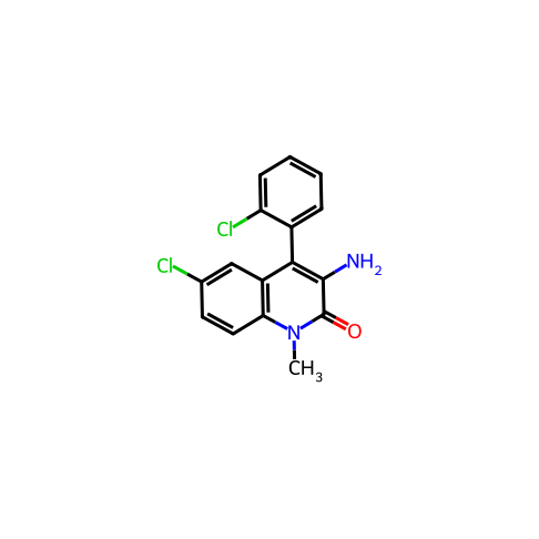 Cn1c(=O)c(N)c(-c2ccccc2Cl)c2cc(Cl)ccc21